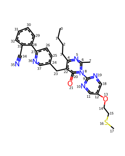 CCCCc1nc(C)n(-c2ncc(OCCSC)cn2)c(=O)c1Cc1ccc(-c2ccccc2C#N)nc1